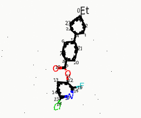 CCc1ccc(-c2ccc(C(=O)Oc3ccc(Cl)nc3F)cc2)cc1